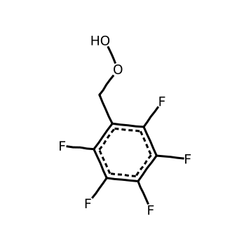 OOCc1c(F)c(F)c(F)c(F)c1F